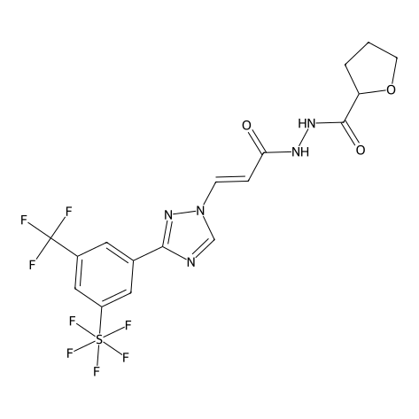 O=C(C=Cn1cnc(-c2cc(C(F)(F)F)cc(S(F)(F)(F)(F)F)c2)n1)NNC(=O)C1CCCO1